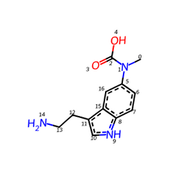 CN(C(=O)O)c1ccc2[nH]cc(CCN)c2c1